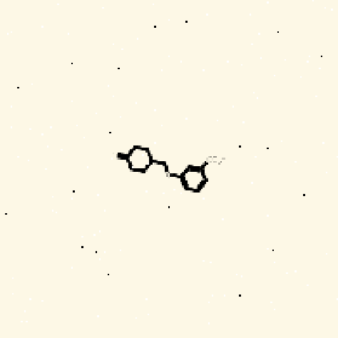 O=C1CCC(COc2cccc(C(=O)O)c2)CC1